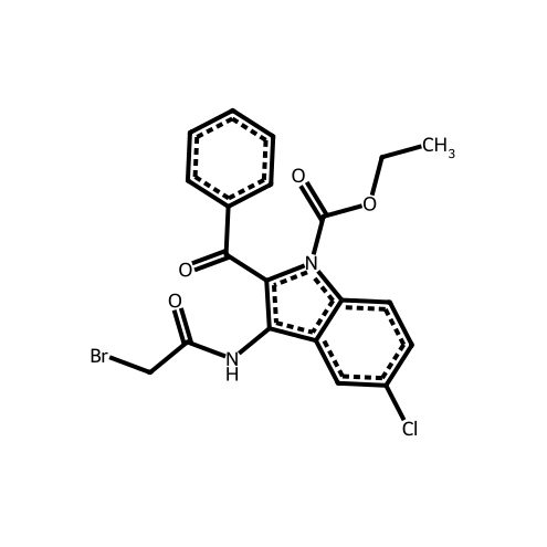 CCOC(=O)n1c(C(=O)c2ccccc2)c(NC(=O)CBr)c2cc(Cl)ccc21